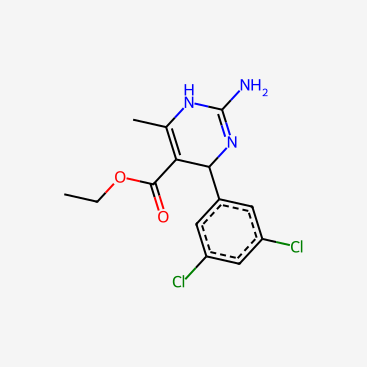 CCOC(=O)C1=C(C)NC(N)=NC1c1cc(Cl)cc(Cl)c1